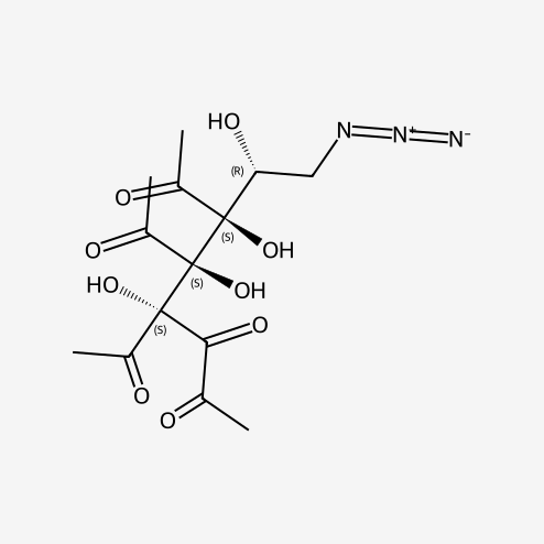 CC(=O)C(=O)[C@@](O)(C(C)=O)[C@](O)(C(C)=O)[C@](O)(C(C)=O)[C@H](O)CN=[N+]=[N-]